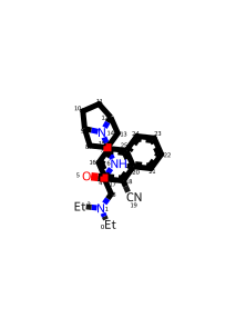 CCN(CC)CC(=O)NC1CC2CCC(C1)N2c1ccc(C#N)c2ccccc12